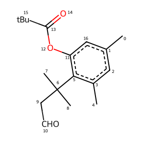 Cc1cc(C)c(C(C)(C)CC=O)c(OC(=O)C(C)(C)C)c1